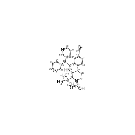 CC(C)(C)C1C(NC(c2cccc(C#N)c2)C(c2cccnc2)c2cccnc2)CCCN1C(=O)O